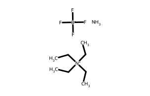 CC[N+](CC)(CC)CC.F[B-](F)(F)F.N